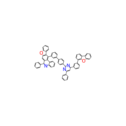 c1ccc(-c2cc(-c3cccc(-c4cccc5c4oc4ccccc45)c3)nc(-c3ccc(-c4cccc(-c5c6c(cc7c(-c8ccccc8)nc8ccccc8c57)oc5ccccc56)c4)cc3)n2)cc1